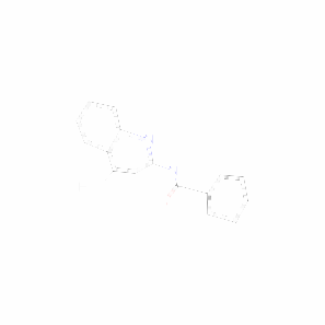 Cc1cc(NC(=O)c2ccccc2)nc2ccccc12